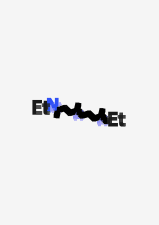 CC/C=C(\C)CC/C=C(\C)CC/C(C)=N/CC